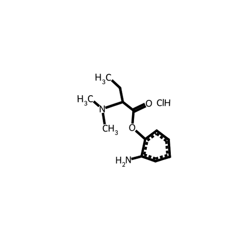 CCC(C(=O)Oc1ccccc1N)N(C)C.Cl